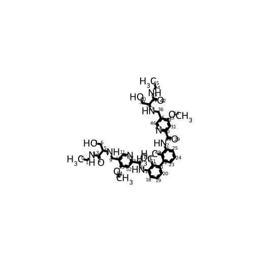 CCNC(=O)C(CO)NCc1cnc(C(=O)Nc2cccc(-c3cccc(NC(=O)c4cc(OC)c(CNC(CO)C(=O)NCC)cn4)c3C)c2C)cc1OC